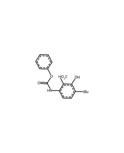 CC(C)(C)c1ccc(NC(=O)Oc2ccccc2)c(C(=O)O)c1O